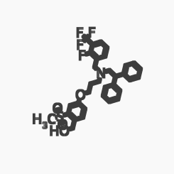 CS(=O)(=O)c1cc(OCCCN(Cc2cccc(C(F)(F)F)c2F)CC(c2ccccc2)c2ccccc2)ccc1CO